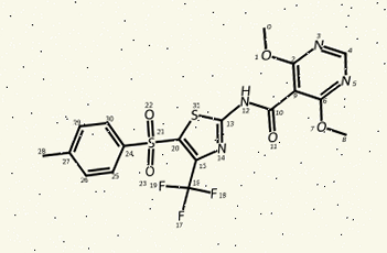 COc1ncnc(OC)c1C(=O)Nc1nc(C(F)(F)F)c(S(=O)(=O)c2ccc(C)cc2)s1